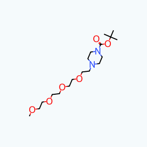 COCCOCCOCCOCCN1CCN(C(=O)OC(C)(C)C)CC1